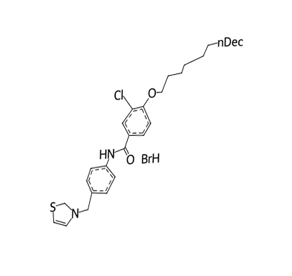 Br.CCCCCCCCCCCCCCCCOc1ccc(C(=O)Nc2ccc(CN3C=CSC3)cc2)cc1Cl